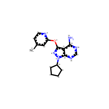 N#Cc1ccnc(Oc2nn(C3CCCC3)c3ncnc(N)c23)c1